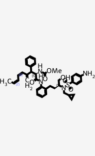 C=C(/C=C\C=C/C)C(c1ccccc1)[C@H](NC(=O)OC)C(=O)Nc1ccccc1CC[C@@H](CO)N(CC1CC1)S(=O)(=O)c1ccc(N)cc1